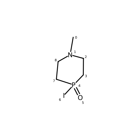 CN1CCP(=O)(I)CC1